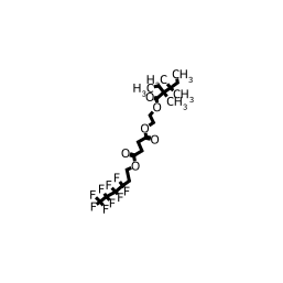 CCC(C)(C)C(C)(CC)C(=O)OCCOC(=O)CCC(=O)OCCC(F)(F)C(F)(F)C(F)(F)C(F)(F)F